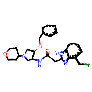 O=C(Cc1nc2c(CF)cccc2[nH]1)NC1CN(C2CCOCC2)C[C@@H]1OCc1ccccc1